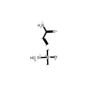 C=CC(N)=O.CC[N+](C)(C)CC.Cl